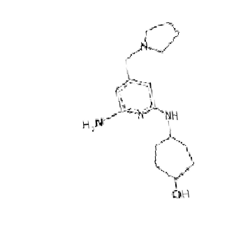 Nc1cc(CN2CCCC2)cc(NC2CCC(O)CC2)n1